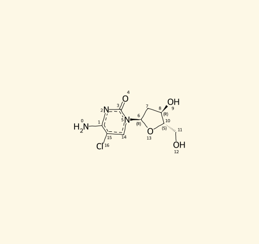 Nc1nc(=O)n([C@H]2C[C@@H](O)[C@H](CO)O2)cc1Cl